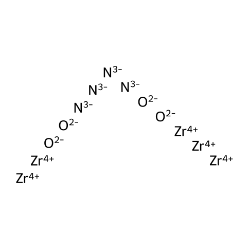 [N-3].[N-3].[N-3].[N-3].[O-2].[O-2].[O-2].[O-2].[Zr+4].[Zr+4].[Zr+4].[Zr+4].[Zr+4]